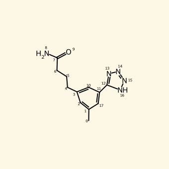 Cc1cc(C[CH]CC(N)=O)cc(-c2nnn[nH]2)c1